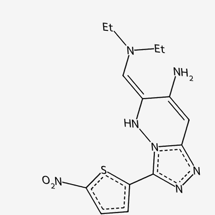 CCN(C=C1Nn2c(nnc2-c2ccc([N+](=O)[O-])s2)C=C1N)CC